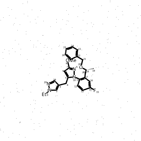 CCn1cc(Cc2cc(OC)nn2-c2ccc(F)cc2[C@@H](C)OCc2ccccc2)cn1